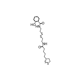 O=C(CCCCC1CCSS1)NCCSSCCNC(=O)c1ccccc1O